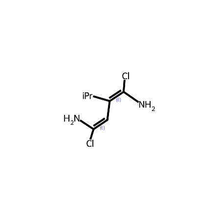 CC(C)C(/C=C(\N)Cl)=C(/N)Cl